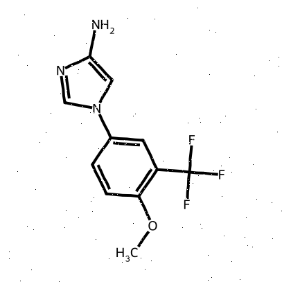 COc1ccc(-n2cnc(N)c2)cc1C(F)(F)F